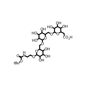 CC(C)(C)OC(=O)NCCOC1OC(COC2OC(COC3OC(CC(=O)O)C(O)C(O)C3O)C(O)C(O)C2O)C(O)C(O)C1O